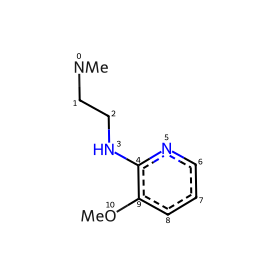 CNCCNc1ncccc1OC